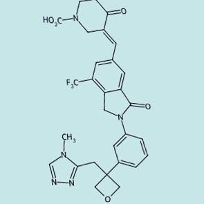 Cn1cnnc1CC1(c2cccc(N3Cc4c(cc(/C=C5\CN(C(=O)O)CCC5=O)cc4C(F)(F)F)C3=O)c2)COC1